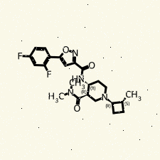 C[C@H]1CC[C@H]1N1CC[C@@H](NC(=O)c2cc(-c3ccc(F)cc3F)on2)[C@H](C(=O)N(C)C)C1